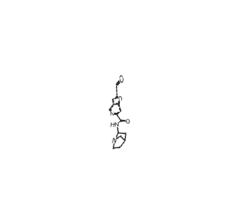 O=Cc1cc2cnc(C(=O)NC3CC4CCN3C4)cc2o1